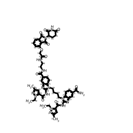 CCn1nc(C)cc1C(=O)Nc1nc2cc(C(N)=O)ccc2n1CCCCn1c(NC(=O)c2cc(C)nn2CC)nc2cc(C(=O)NCCNC(=O)COc3cccc4c3C(=O)N(C3CCC(=O)NC3=O)C4=O)ccc21